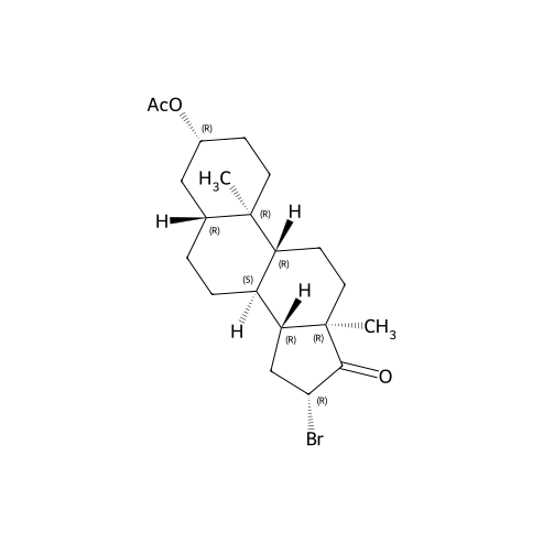 CC(=O)O[C@@H]1CC[C@]2(C)[C@H](CC[C@H]3[C@H]2CC[C@@]2(C)C(=O)[C@H](Br)C[C@H]32)C1